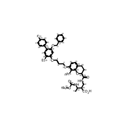 CCCc1c(OCCCOc2cc(OCc3ccccc3)c(-c3ccc(F)cc3)cc2CC)ccc2c1OC(C(=O)NCC(C(=O)O)C(C)NC(=O)OC(C)(C)C)CC2